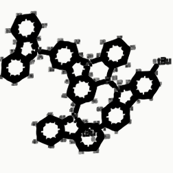 CC(C)(C)c1ccc2c3ccc(C(C)(C)C)cc3n(B3c4ccccc4-n4c5ccc(-n6c7ccccc7c7ccccc76)cc5c5cc(-n6c7ccccc7c7ccccc76)cc3c54)c2c1